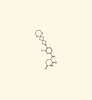 O=C1CCC(Nc2ccc(N3CC4(C3)CC3(C4)OCCCO3)c(F)c2)C(=O)N1